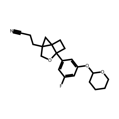 N#CCCC12COC3(c4cc(F)cc(OC5CCCCO5)c4)CCC13C2